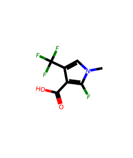 Cn1cc(C(F)(F)F)c(C(=O)O)c1F